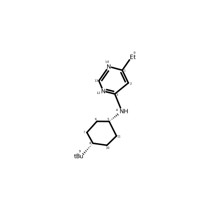 CCc1cc(N[C@H]2CC[C@@H](C(C)(C)C)CC2)ncn1